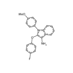 COc1ccc(-n2c(Oc3ccc(F)cc3)c(N)c3ccccc32)cc1